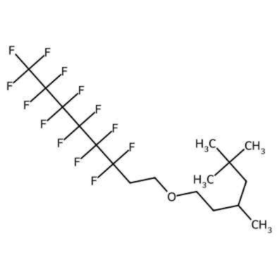 CC(CCOCCC(F)(F)C(F)(F)C(F)(F)C(F)(F)C(F)(F)C(F)(F)F)CC(C)(C)C